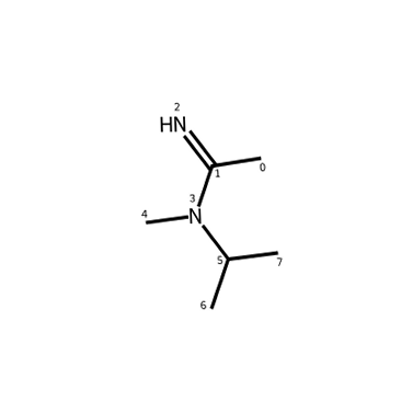 CC(=N)N(C)C(C)C